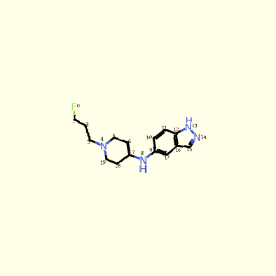 FCCCN1CCC(Nc2ccc3[nH]ncc3c2)CC1